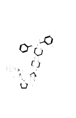 CC(C)(C)OC(=O)ON1CCC[C@H]1C(=O)N1CC(N2CCN([C@H]3CCN(C(=O)c4cc(C(F)(F)F)cc(C(F)(F)F)c4)[C@H](Cc4ccccc4)C3)CC2)C1